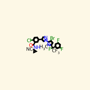 Cn1c(C(F)(c2cc(F)cc(F)c2)C(F)(F)F)cc(Br)c1-n1cc(-c2ccc(Cl)c(C(=O)NC3(C#N)CC3)c2)cn1